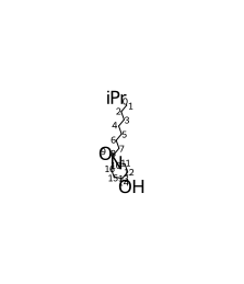 CC(C)CCCCCCCC(=O)N1CCC(O)CC1